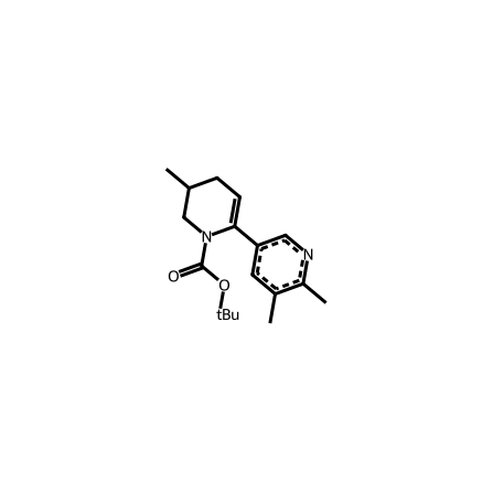 Cc1cc(C2=CCC(C)CN2C(=O)OC(C)(C)C)cnc1C